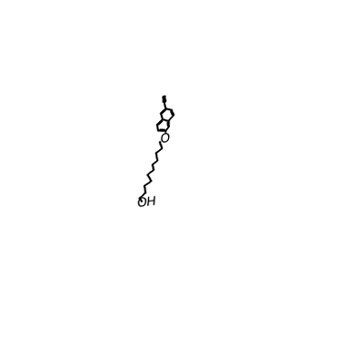 C#Cc1ccc2cc(OCCCCCCCCCCCO)ccc2c1